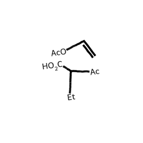 C=COC(C)=O.CCC(C(C)=O)C(=O)O